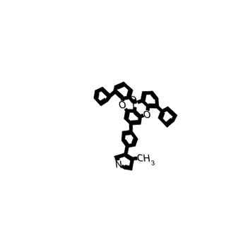 Cc1ccncc1-c1ccc(-c2cc3c4c(c2)Oc2c(-c5ccccc5)cccc2P4(=O)c2cccc(-c4ccccc4)c2O3)cc1